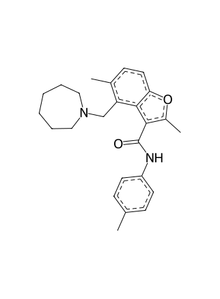 Cc1ccc(NC(=O)c2c(C)oc3ccc(C)c(CN4CCCCCC4)c23)cc1